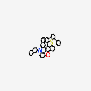 c1ccc(-c2cccc3c2sc2c(-c4cc5c(oc6cccc(N(c7ccc8ccccc8c7)c7ccc8ccccc8c7)c65)c5ccccc45)cccc23)cc1